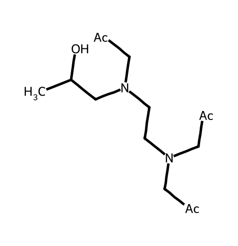 CC(=O)CN(CCN(CC(C)=O)CC(C)O)CC(C)=O